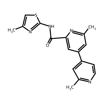 Cc1cc(-c2cc(C)nc(C(=O)Nc3nc(C)cs3)c2)ccn1